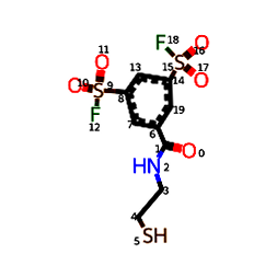 O=C(NCCS)c1cc(S(=O)(=O)F)cc(S(=O)(=O)F)c1